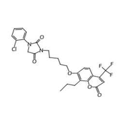 CCCc1c(OCCCCCN2C(=O)CN(c3ccccc3Cl)C2=O)ccc2c(C(F)(F)F)cc(=O)oc12